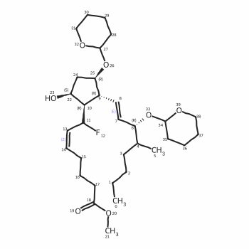 CCCCC(C)[C@H](/C=C/[C@@H]1[C@@H](C(F)/C=C\CCCC(=O)OC)[C@@H](O)C[C@H]1OC1CCCCO1)OC1CCCCO1